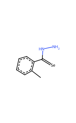 Cc1ccccc1C(=[Se])NN